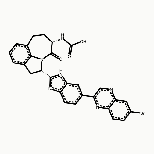 O=C(O)N[C@H]1CCc2cccc3c2N(C1=O)[C@H](c1nc2ccc(-c4cnc5cc(Br)ccc5n4)cc2[nH]1)C3